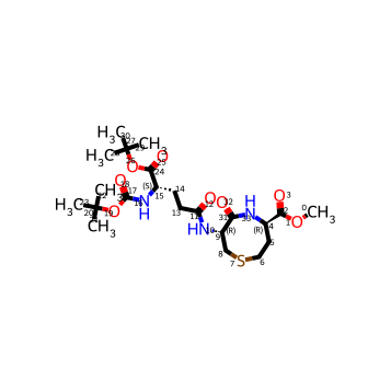 COC(=O)[C@H]1CCSC[C@H](NC(=O)CC[C@H](NC(=O)OC(C)(C)C)C(=O)OC(C)(C)C)C(=O)N1